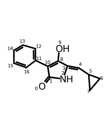 O=C1N/C(=C\C2CC2)C(O)=C1c1ccccc1